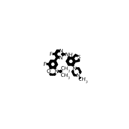 CC(C)N1CCOc2c(F)cc(-c3nc(Nc4ccc(N5CCN(C)CC5)c5c4CSC5)ncc3F)cc21